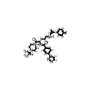 [2H]C([2H])([2H])N1CCN(C(=O)[C@H](CCCNC2C[C@H]2c2ccc(F)cc2)NC(=O)c2ccc(-n3ccnn3)cc2)CC1